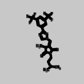 CN(C)CCN1C(=O)C(=Cn2cnc(-c3cc(C(F)(F)F)cc(C(F)(F)F)c3)n2)N(C)C1=O